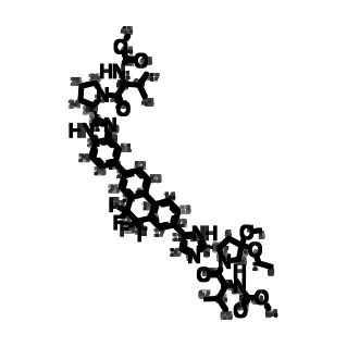 CCOC1(OC)C[C@@H](c2ncc(-c3ccc4c(c3)C(F)(F)C(F)(F)c3cc(-c5ccc6[nH]c([C@@H]7CCCN7C(=O)[C@@H](NC(=O)OC)C(C)C)nc6c5)ccc3-4)[nH]2)N(C(=O)[C@@H](NC(=O)OC)C(C)C)C1